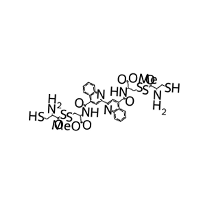 COC(=O)C(CSSC(=O)[C@@H](N)CS)NC(=O)c1cc(-c2cc(C(=O)NC(CSSC(=O)[C@@H](N)CS)C(=O)OC)c3ccccc3n2)nc2ccccc12